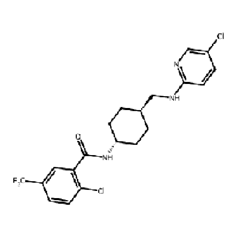 O=C(N[C@H]1CC[C@H](CNc2ccc(Cl)cn2)CC1)c1cc(C(F)(F)F)ccc1Cl